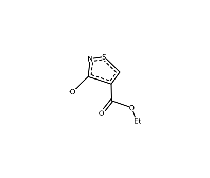 CCOC(=O)c1csnc1[O]